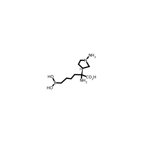 NN1CC[C@H](C(N)(CCCCB(O)O)C(=O)O)C1